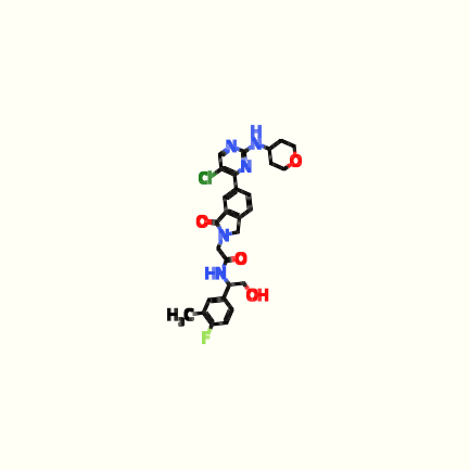 Cc1cc(C(CO)NC(=O)CN2Cc3ccc(-c4nc(NC5CCOCC5)ncc4Cl)cc3C2=O)ccc1F